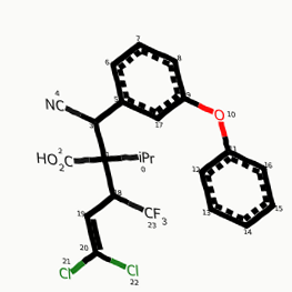 CC(C)C(C(=O)O)(C(C#N)c1cccc(Oc2ccccc2)c1)C(C=C(Cl)Cl)C(F)(F)F